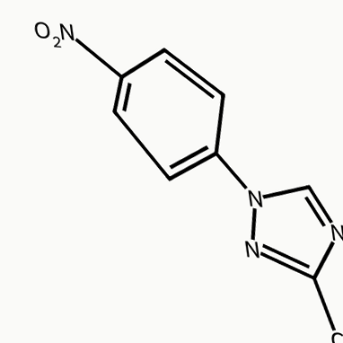 O=[N+]([O-])c1ccc(-n2cnc(Cl)n2)cc1